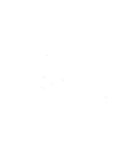 N#Cc1ccc(-c2ccc3c(c2)c2ccccc2n3-c2ccc(-c3ccccn3)cc2-c2nc(-c3ccccc3)nc(-c3ccccc3)n2)cc1